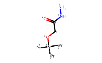 CC(C)[Si](OCC(=O)NN)(C(C)C)C(C)C